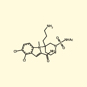 CC(=O)NS(=O)(=O)N1CCCC(CCCN)([N+]2(C)C(C(N)=O)=Cc3c2ccc(Cl)c3Cl)C1